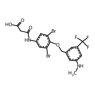 CNc1cc(COc2c(Br)cc(NC(=O)CC(=O)O)cc2Br)cc(C(F)(F)F)c1